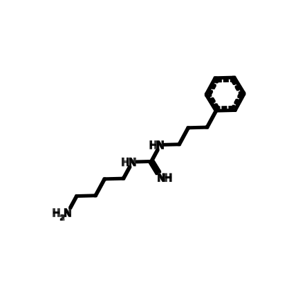 N=C(NCCCCN)NCCCc1ccccc1